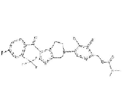 CN(C)C(=O)OCn1ncc(N2CCn3c(C(=O)c4ccc(F)cc4C(F)(F)F)cnc3C2)c(Cl)c1=O